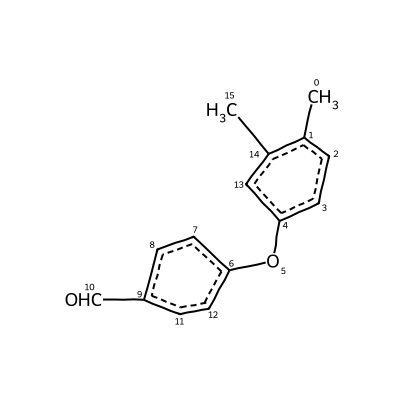 Cc1ccc(Oc2ccc(C=O)cc2)cc1C